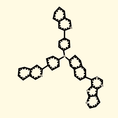 c1ccc2cc(-c3ccc(N(c4ccc(-c5cc6ccccc6cn5)cc4)c4ccc5cc(-c6ncnc7c6sc6ncccc67)ccc5c4)cc3)ncc2c1